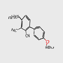 CCCCCCc1ccc(-c2ccc(OCCCC)cc2)c(C#N)c1C#N